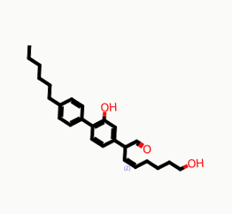 CCCCCCc1ccc(-c2ccc(C(C=O)/C=C\CCCCO)cc2O)cc1